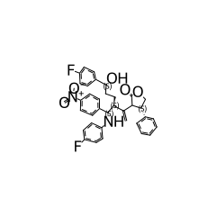 C=C(C1C(=O)OC[C@@H]1c1ccccc1)[C@H](CC[C@H](O)c1ccc(F)cc1)[C@H](Nc1ccc(F)cc1)c1ccc([N+](=O)[O-])cc1